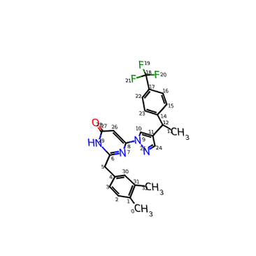 Cc1ccc(Cc2nc(-n3cc(C(C)c4ccc(C(F)(F)F)cc4)cn3)cc(=O)[nH]2)cc1C